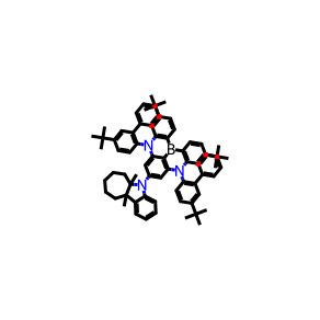 CC(C)(C)c1ccc(N2c3cc(C(C)(C)C)ccc3B3c4ccc(C(C)(C)C)cc4N(c4ccc(C(C)(C)C)cc4-c4ccccc4)c4cc(N5c6ccccc6C6(C)CCCCCC56C)cc2c43)c(-c2ccccc2)c1